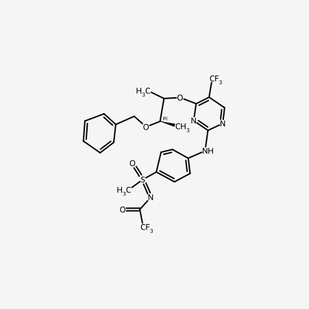 CC(Oc1nc(Nc2ccc(S(C)(=O)=NC(=O)C(F)(F)F)cc2)ncc1C(F)(F)F)[C@@H](C)OCc1ccccc1